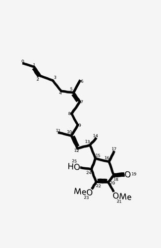 CC=CCCC(C)=CCCC(C)=CC(C)C1C(C)C(=O)C(OC)=C(OC)C1O